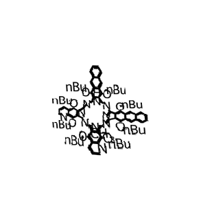 CCCCOc1c2c(c(OCCCC)c3cc4ccccc4cc13)-c1nc-2nc2[nH]c(nc3nc(nc4c5c(OCCCC)c6cccnc6c(OCCCC)c5c(n1)n4C)-c1c-3c(OCCCC)c3cccnc3c1OCCCC)c1c(OCCCC)c3cc4ccccc4cc3c(OCCCC)c21